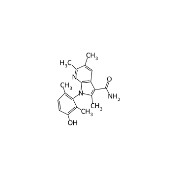 Cc1cc2c(C(N)=O)c(C)n(-c3c(C)ccc(O)c3C)c2nc1C